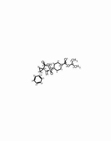 CC(C)OC(=O)N1CCN(S(=O)(=O)N[C@@]2(C(=O)O)C[C@H]2c2ccccc2)CC1